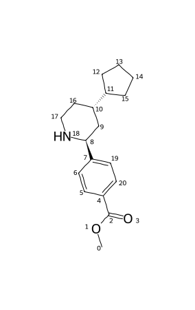 COC(=O)c1ccc([C@@H]2C[C@@H](C3CCCC3)CCN2)cc1